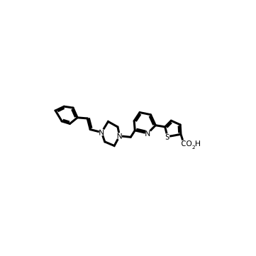 O=C(O)c1ccc(-c2cccc(CN3CCN(C=Cc4ccccc4)CC3)n2)s1